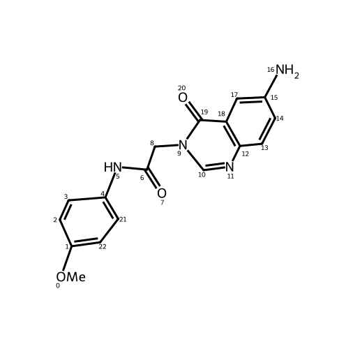 COc1ccc(NC(=O)Cn2cnc3ccc(N)cc3c2=O)cc1